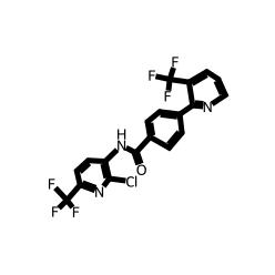 O=C(Nc1ccc(C(F)(F)F)nc1Cl)c1ccc(-c2ncccc2C(F)(F)F)cc1